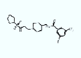 O=C(NCC1CCN(CCNS(=O)(=O)C2CCCC2)CC1)c1cc(F)cc(C(F)(F)F)c1